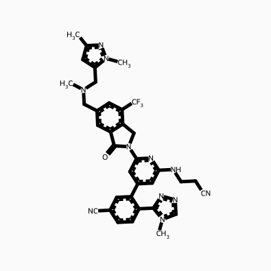 Cc1cc(CN(C)Cc2cc3c(c(C(F)(F)F)c2)CN(c2cc(-c4cc(C#N)ccc4-c4nncn4C)cc(NCCC#N)n2)C3=O)n(C)n1